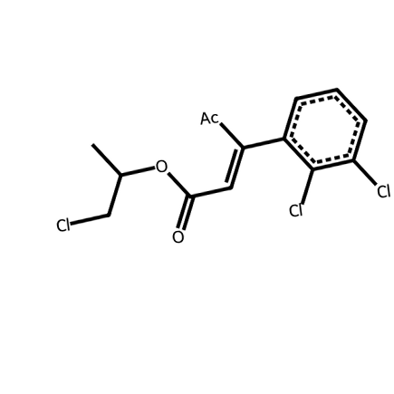 CC(=O)C(=CC(=O)OC(C)CCl)c1cccc(Cl)c1Cl